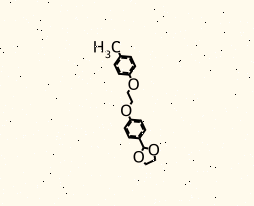 Cc1ccc(OCCOc2ccc(C3OCCO3)cc2)cc1